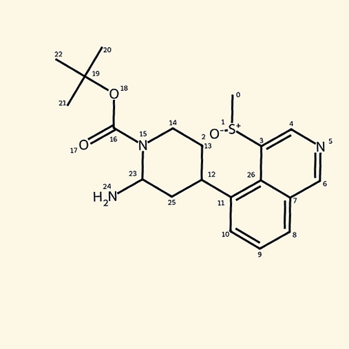 C[S+]([O-])c1cncc2cccc(C3CCN(C(=O)OC(C)(C)C)C(N)C3)c12